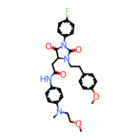 COCCN(C)c1ccc(NC(=O)CC2C(=O)N(c3ccc(F)cc3)C(=O)N2CCc2ccc(OC)cc2)cc1